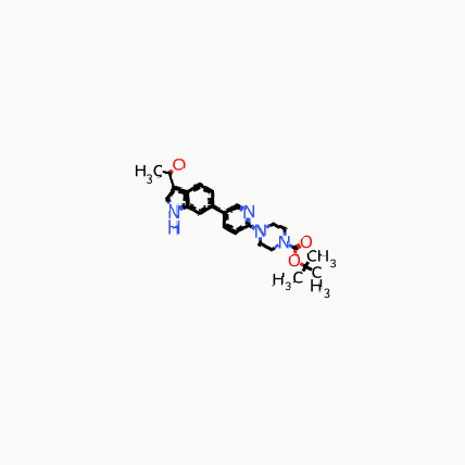 CC(=O)c1c[nH]c2cc(-c3ccc(N4CCN(C(=O)OC(C)(C)C)CC4)nc3)ccc12